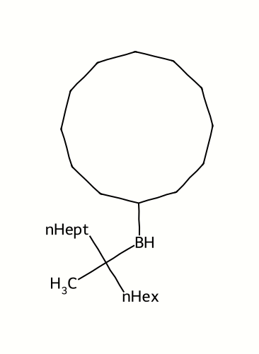 CCCCCCCC(C)(BC1CCCCCCCCCCC1)CCCCCC